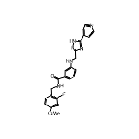 COc1ccc(CNC(=O)c2cccc(NCc3n[nH]c(-c4ccncc4)n3)c2)c(F)c1